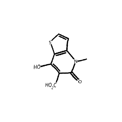 Cn1c(=O)c(C(=O)O)c(O)c2sccc21